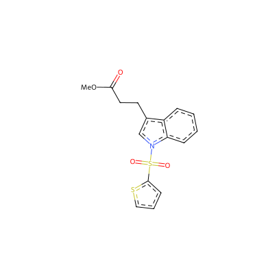 COC(=O)CCc1cn(S(=O)(=O)c2cccs2)c2ccccc12